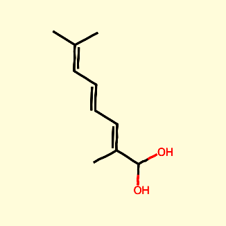 CC(C)=C/C=C/C=C(\C)C(O)O